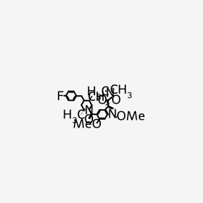 COCn1cc(C(=O)C(=O)N(C)C)c2cc(C(=O)N3C[C@H](C)C(Cc4ccc(F)cc4)C[C@H]3C)c(OC)cc21